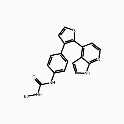 CCNC(=O)Nc1ccc(-c2ccsc2-c2ccnc3[nH]ccc23)cc1